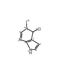 ClC1c2cc[nH]c2N=CN1I